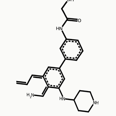 C=C/C=c1/cc(-c2cccc(NC(=O)CO)c2)cc(NC2CCNCC2)/c1=C/N